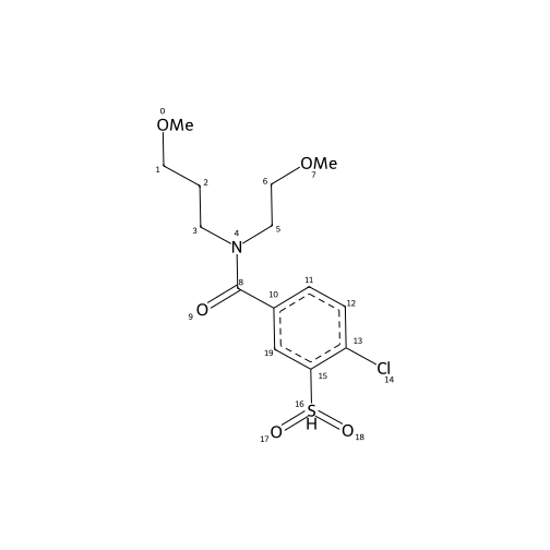 COCCCN(CCOC)C(=O)c1ccc(Cl)c([SH](=O)=O)c1